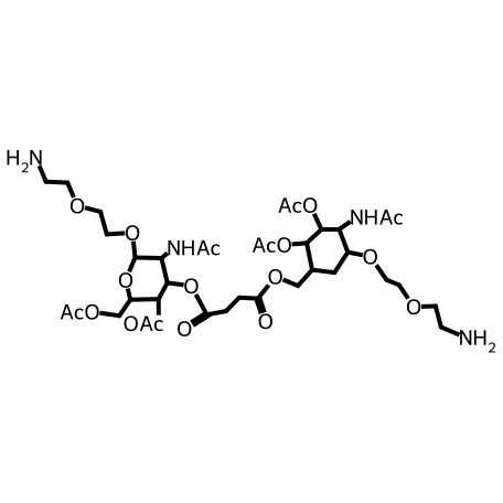 CC(=O)NC1C(OCCOCCN)CC(COC(=O)CCC(=O)OC2C(NC(C)=O)C(OCCOCCN)OC(COC(C)=O)C2OC(C)=O)C(OC(C)=O)C1OC(C)=O